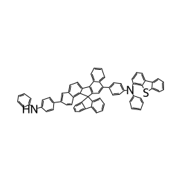 c1ccc(Nc2ccc(-c3ccc4c5c(ccc4c3)-c3c(cc(-c4ccc(N(c6ccccc6)c6cccc7c6sc6ccccc67)cc4)c4ccccc34)C53c4ccccc4-c4ccccc43)cc2)cc1